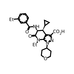 CCc1cccc(C(=O)N[C@@H]2C(=O)N(CC)c3c(c(C(=O)O)nn3C3CCOCC3)[C@@H]2C2CC2)c1